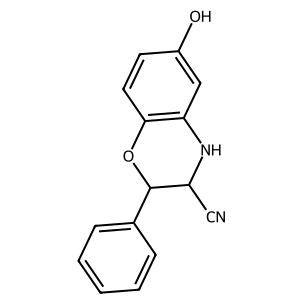 N#CC1Nc2cc(O)ccc2OC1c1ccccc1